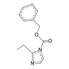 CCc1nccn1C(=O)OCc1ccccc1